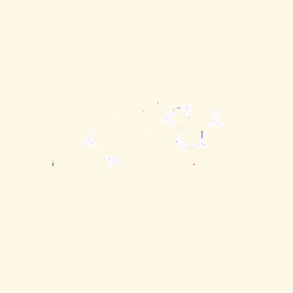 CCOC(=O)[C@H](CC(C)C)NP(=O)(N[C@@H](CC(C)C)C(=O)OCC)OC[C@H]1OC(n2cnc3c(NC4CCCC4)nc(O)nc32)C(C)(O)[C@H]1O